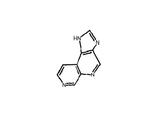 c1cc2c(cn1)ncc1nc[nH]c12